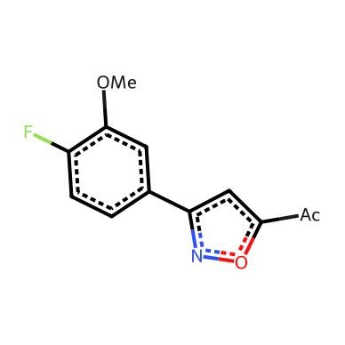 COc1cc(-c2cc(C(C)=O)on2)ccc1F